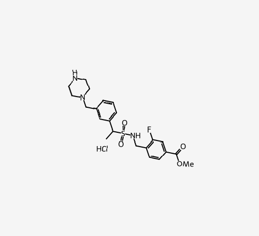 COC(=O)c1ccc(CNS(=O)(=O)C(C)c2cccc(CN3CCNCC3)c2)c(F)c1.Cl